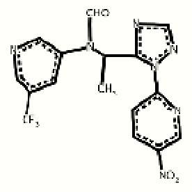 CC(c1ncnn1-c1ccc([N+](=O)[O-])cn1)N(C=O)c1cncc(C(F)(F)F)c1